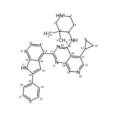 CC1(C)CNCCC1Nc1nc(-c2ccnc3[nH]c(-c4ccccc4)cc23)nc2cncc(C3CC3)c12